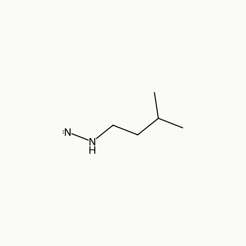 CC(C)CCN[N]